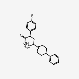 CC(CC(C(=O)O)c1ccc(F)cc1)N1CCC(c2ccccc2)CC1